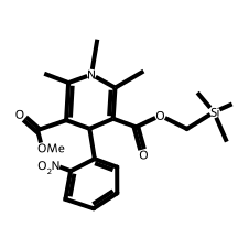 COC(=O)C1=C(C)N(C)C(C)=C(C(=O)OC[Si](C)(C)C)C1c1ccccc1[N+](=O)[O-]